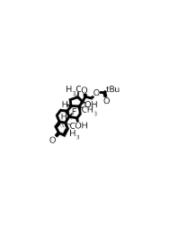 C[C@@H]1C[C@H]2[C@@H]3CCC4=CC(=O)C=C[C@]4(C)[C@@]3(F)C(O)C[C@]2(C)[C@@]1(O)C(=O)COC(=O)C(C)(C)C